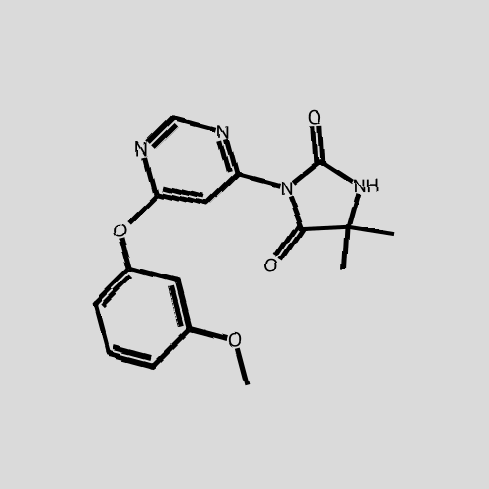 COc1cccc(Oc2cc(N3C(=O)NC(C)(C)C3=O)ncn2)c1